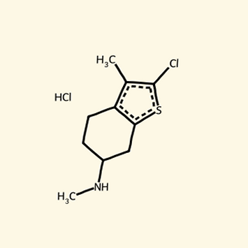 CNC1CCc2c(sc(Cl)c2C)C1.Cl